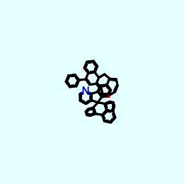 C1=C(c2ccccc2)c2ccccc2C2C/C(c3ccc4c(c3)-c3ncccc3C43c4ccccc4-c4cccc5cccc3c45)=C/C=C\C=C/C=C\12